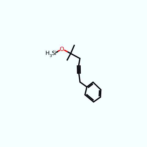 CC(C)(CC#CCc1ccccc1)O[SiH3]